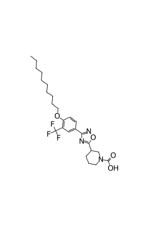 CCCCCCCCCCOc1ccc(-c2noc(C3CCCN(C(=O)O)C3)n2)cc1C(F)(F)F